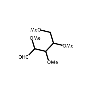 COCC(OC)C(OC)C(C=O)OC